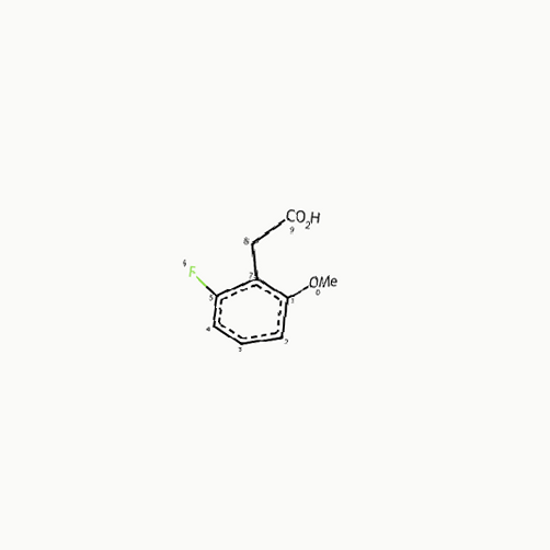 COc1cccc(F)c1CC(=O)O